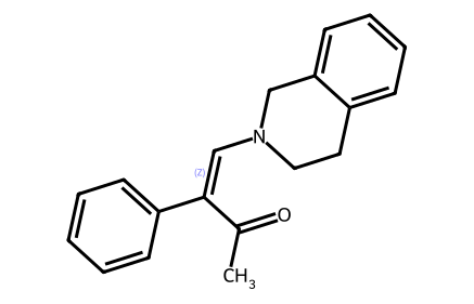 CC(=O)/C(=C\N1CCc2ccccc2C1)c1ccccc1